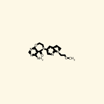 COCCn1ccc2cc(N3CCOc4ncnc(N)c4C3=O)cnc21